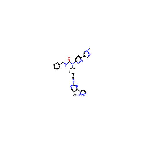 Cn1cc(-c2ccc(N(C(=O)NCc3ccccc3)C3CCC(C#[N+]c4ncc(C#N)c(-c5ccn[nH]5)n4)CC3)nn2)cn1